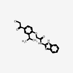 CC(C)c1cc(C(=O)CCl)ccc1OCC(=O)Nc1nc2ccccc2[nH]1